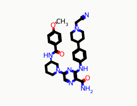 COc1ccc(C(=O)N[C@@H]2CCCN(c3cnc(C(N)=O)c(Nc4ccc(C5CCN(CC#N)CC5)cc4)n3)C2)cc1